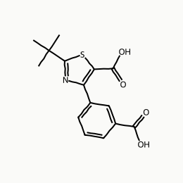 CC(C)(C)c1nc(-c2cccc(C(=O)O)c2)c(C(=O)O)s1